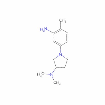 Cc1ccc(N2CCC(N(C)C)C2)cc1N